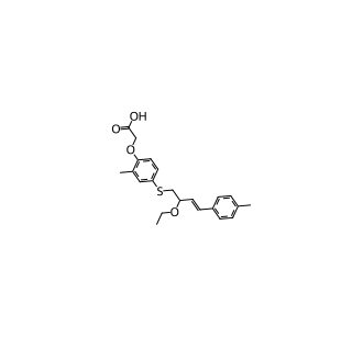 CCOC(/C=C/c1ccc(C)cc1)CSc1ccc(OCC(=O)O)c(C)c1